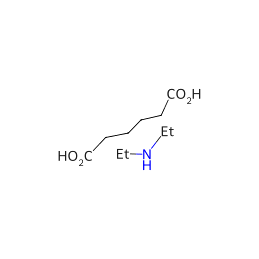 CCNCC.O=C(O)CCCCC(=O)O